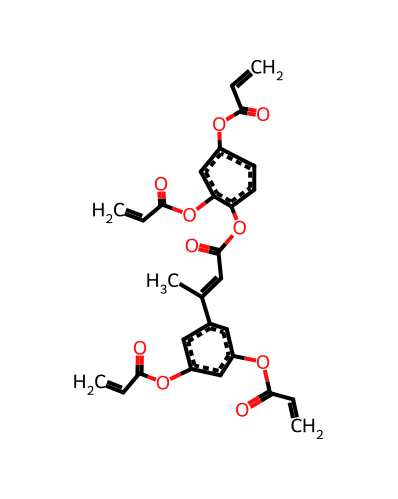 C=CC(=O)Oc1cc(OC(=O)C=C)cc(/C(C)=C/C(=O)Oc2ccc(OC(=O)C=C)cc2OC(=O)C=C)c1